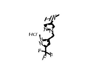 CNc1cnn(Cc2cc(C(F)(F)F)nn2C)c1.Cl